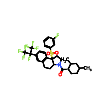 CC1CC[C@@H](C(=O)N2CCC3(S(=O)(=O)c4cccc(F)c4)c4ccc(C(F)(C(F)(F)F)C(F)(F)F)cc4CCC23)[C@@H](C)C1